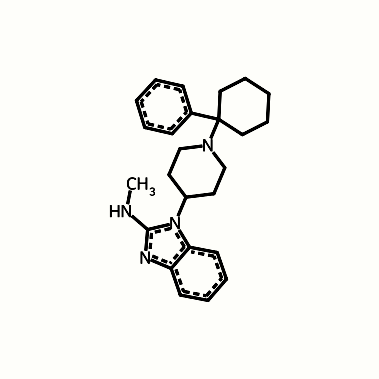 CNc1nc2ccccc2n1C1CCN(C2(c3ccccc3)CCCCC2)CC1